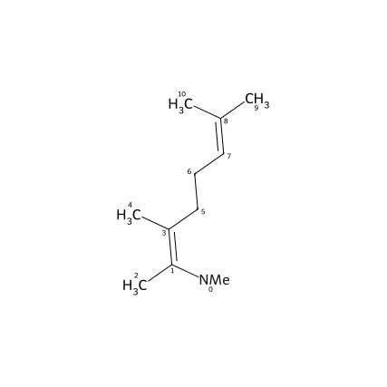 CN/C(C)=C(/C)CCC=C(C)C